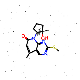 CSc1ncc2c(C)cc(=O)n([C@H]3CCC[C@]3(C)O)c2n1